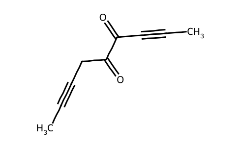 CC#CCC(=O)C(=O)C#CC